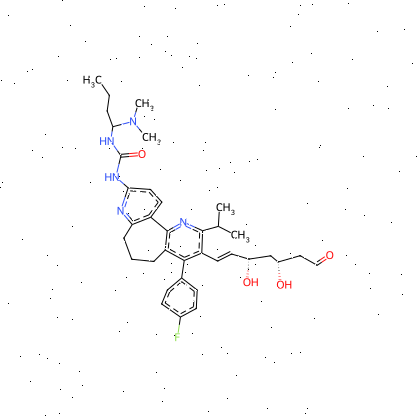 CCCC(NC(=O)Nc1ccc2c(n1)CCCc1c-2nc(C(C)C)c(/C=C/[C@@H](O)C[C@@H](O)CC=O)c1-c1ccc(F)cc1)N(C)C